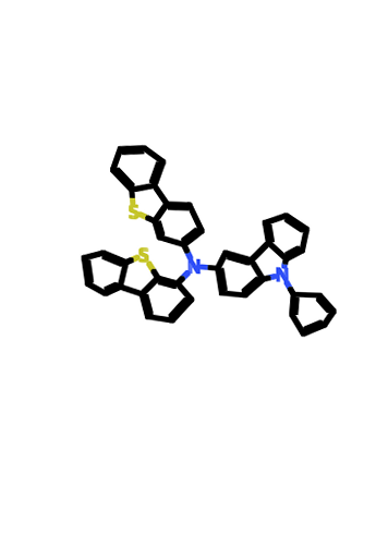 c1ccc(-n2c3ccccc3c3cc(N(c4ccc5c(c4)sc4ccccc45)c4cccc5c4sc4ccccc45)ccc32)cc1